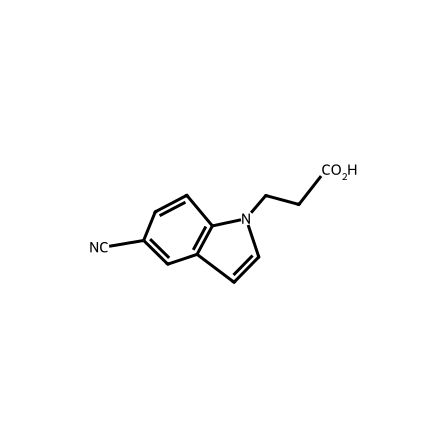 N#Cc1ccc2c(ccn2CCC(=O)O)c1